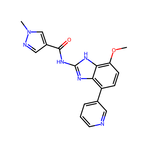 COc1ccc(-c2cccnc2)c2nc(NC(=O)c3cnn(C)c3)[nH]c12